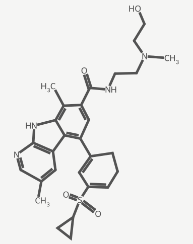 Cc1cnc2[nH]c3c(C)c(C(=O)NCCN(C)CCO)cc(C4=CC(S(=O)(=O)C5CC5)=CCC4)c3c2c1